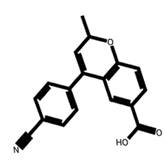 CC1C=C(c2ccc(C#N)cc2)c2cc(C(=O)O)ccc2O1